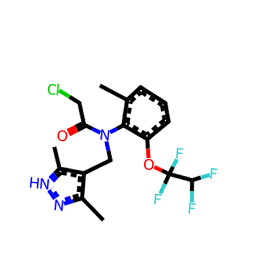 Cc1cccc(OC(F)(F)C(F)F)c1N(Cc1c(C)n[nH]c1C)C(=O)CCl